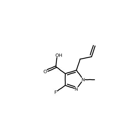 C=CCc1c(C(=O)O)c(F)nn1C